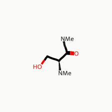 CNC(=O)[C@H](CO)NC